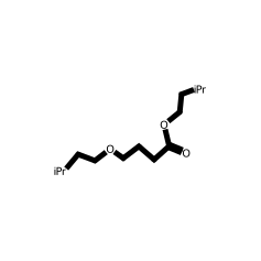 CC(C)CCOCCCC(=O)OCCC(C)C